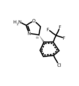 NC1=N[C@@H](c2ccc(Cl)cc2C(F)(F)F)CO1